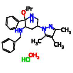 Cc1nn(C2CNC(OC(C)C)(c3ccccc3)C(NCc3ccccc3)C2)c(C)c1C.Cl.O